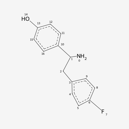 NC(Cc1ccc(F)cc1)c1ccc(O)cc1